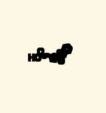 O=C(O)/C=C/c1ccn(S(=O)(=O)Cc2ccccc2)c1